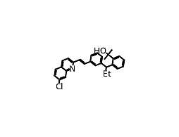 [CH2]CC(c1cccc(C=Cc2ccc3ccc(Cl)cc3n2)c1)c1ccccc1C(C)(C)O